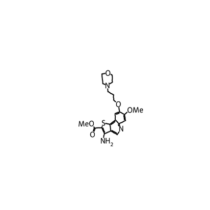 COC(=O)c1sc2c(cnc3cc(OC)c(OCCCN4CCOCC4)cc32)c1N